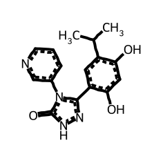 CC(C)c1cc(-c2n[nH]c(=O)n2-c2cccnc2)c(O)cc1O